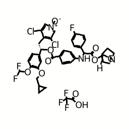 O=C(O)C(F)(F)F.O=C(O[C@@H](Cc1c(Cl)c[n+]([O-])cc1Cl)c1ccc(OC(F)F)c(OCC2CC2)c1)c1ccc(NC(C(=O)O[C@H]2CN3CCC2CC3)c2ccc(F)cc2)cc1